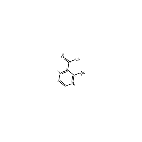 CC(=O)c1nccnc1C(=O)Cl